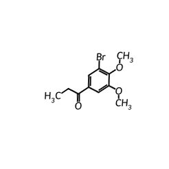 CCC(=O)c1cc(Br)c(OC)c(OC)c1